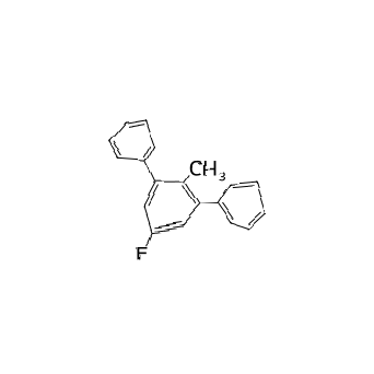 Cc1c(-c2ccccc2)cc(F)cc1-c1ccccc1